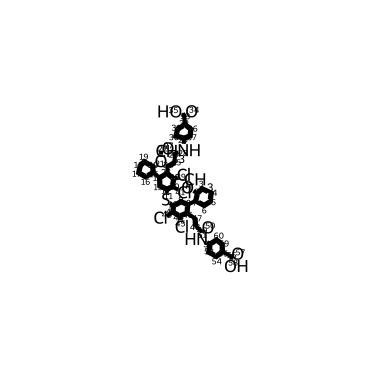 COc1ccccc1-c1cc(Sc2cc(-c3ccccc3OC)c(/C=C/C(=O)Nc3ccc(C(=O)O)cc3)c(Cl)c2Cl)c(Cl)c(Cl)c1/C=C/C(=O)Nc1ccc(C(=O)O)cc1